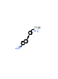 NN=Cc1ccc2cc(C#Cc3ccc(C[C@H](N)C(=O)O)cc3)ccc2c1